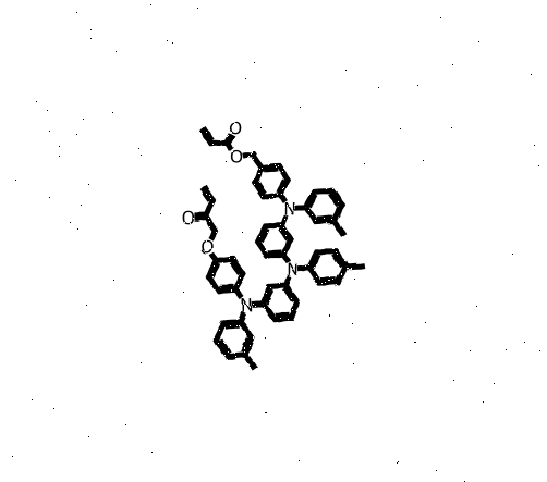 C=CC(=O)COc1ccc(N(c2cccc(C)c2)c2cccc(N(c3ccc(C)cc3)c3cccc(N(c4ccc(COC(=O)C=C)cc4)c4cccc(C)c4)c3)c2)cc1